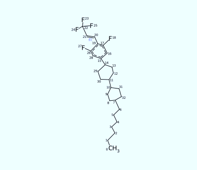 CCCCCCCC1CCC(C2CCC(c3cc(F)c(/C=C/C(F)(F)F)c(F)c3)CC2)CC1